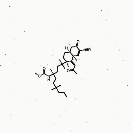 CCCC(C)(C)CC[C@@](C)(CCC(C)(C)[C@]1(C)CC[C@H]2[C@H](C)C(=O)C(C#N)=C[C@]2(C)/C1=C/C(C)=O)NC(=O)OC